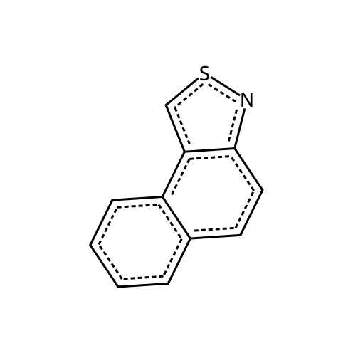 c1ccc2c(c1)ccc1nscc12